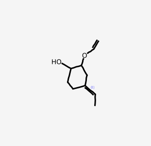 C=COC1C/C(=C/C)CCC1O